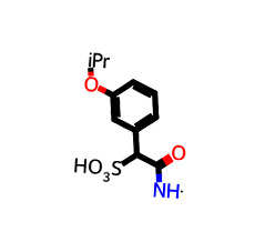 CC(C)Oc1cccc(C(C([NH])=O)S(=O)(=O)O)c1